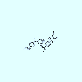 C=C/C=C(\C=C)S(=O)(=O)c1ccc(C(=O)OC)c(C(=O)N[C@H](C)C(C)N(C)c2ccc(NCC)cc2)c1